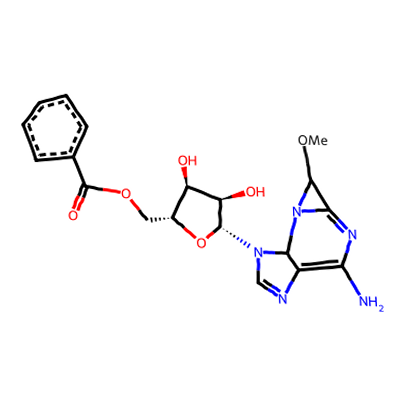 COC1C2=NC(N)=C3N=CN([C@@H]4O[C@H](COC(=O)c5ccccc5)[C@@H](O)[C@H]4O)C3N21